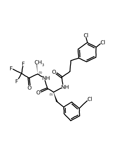 C[C@H](NC(=O)[C@H](Cc1cccc(Cl)c1)NC(=O)CCc1ccc(Cl)c(Cl)c1)C(=O)C(F)(F)F